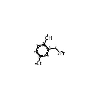 CCc1ccc(O)c(CC(C)C)c1